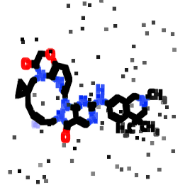 CN1Cc2cc(Nc3ncc4c(=O)n5n(c4n3)-c3ccc4c(n3)N(CC3(C/C=C\C5)CC3)C(=O)CO4)ccc2C(C)(C)C1